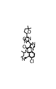 CCC(C)n1c(=O)c2c(-c3noc(C4CCC(C)(C)O4)n3)ncn2c2ccc(Cl)c(C#N)c21